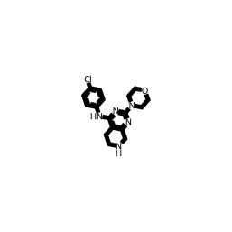 Clc1ccc(Nc2nc(N3CCOCC3)nc3c2CCNC3)cc1